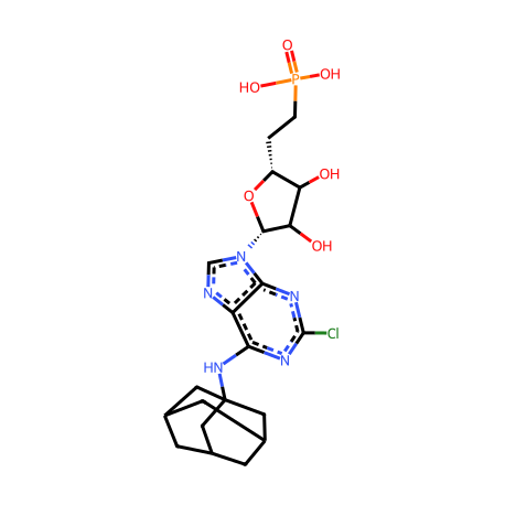 O=P(O)(O)CC[C@H]1O[C@@H](n2cnc3c(NC45CC6CC(CC(C6)C4)C5)nc(Cl)nc32)C(O)C1O